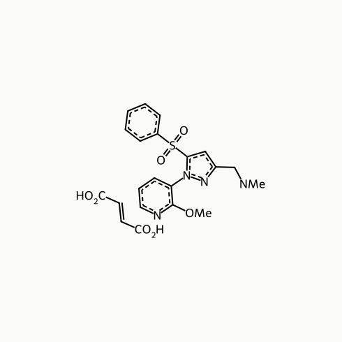 CNCc1cc(S(=O)(=O)c2ccccc2)n(-c2cccnc2OC)n1.O=C(O)/C=C/C(=O)O